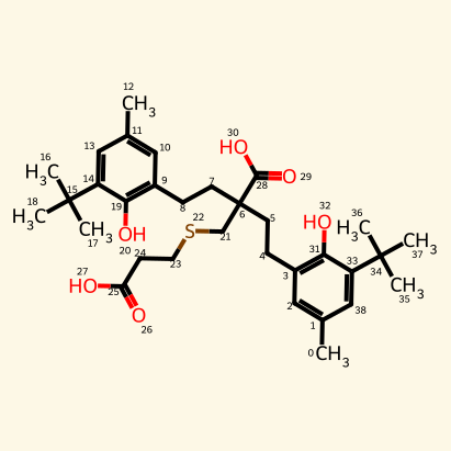 Cc1cc(CCC(CCc2cc(C)cc(C(C)(C)C)c2O)(CSCCC(=O)O)C(=O)O)c(O)c(C(C)(C)C)c1